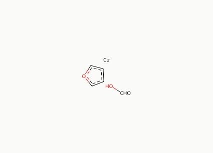 O=CO.[Cu].c1ccoc1